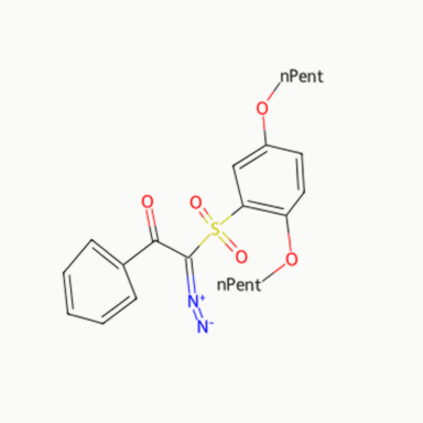 CCCCCOc1ccc(OCCCCC)c(S(=O)(=O)C(=[N+]=[N-])C(=O)c2ccccc2)c1